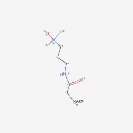 CCCCCCCC(=O)NCCC[N+](C)(C)[O-]